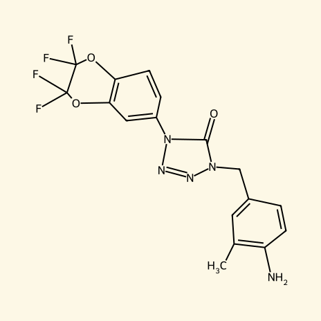 Cc1cc(Cn2nnn(-c3ccc4c(c3)OC(F)(F)C(F)(F)O4)c2=O)ccc1N